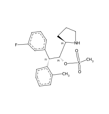 Cc1ccccc1[C@H](c1cccc(F)c1)[C@@H](OS(C)(=O)=O)[C@H]1CCCN1